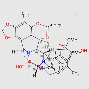 CCCCCCCC(=O)Oc1c(C)c2c(c3c1[C@H]1SC[C@]4(NCCc5cc(O)c(OC)cc54)C(=O)OC[C@@H]3N3[C@@H]1[C@@H]1c4c(cc(C)c(OC)c4O)C[C@H]([C@@H]3O)N1C)OCO2